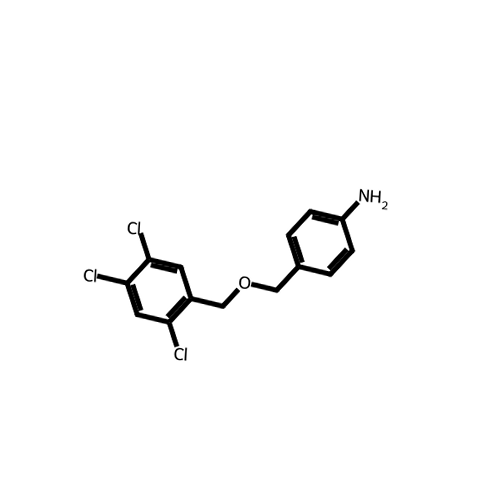 Nc1ccc(COCc2cc(Cl)c(Cl)cc2Cl)cc1